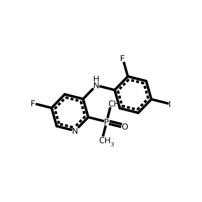 CP(C)(=O)c1ncc(F)cc1Nc1ccc(I)cc1F